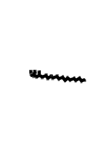 CCCCCCCCCCCCOCCCNCC(C)N